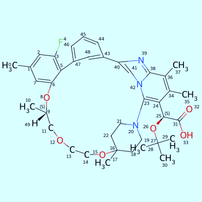 Cc1cc(F)c2c(c1)O[C@@H](C)COCCOC1(C)CCN(CC1)c1c([C@H](OC(C)(C)C)C(=O)O)c(C)c(C)c3nc(cn13)-c1cccc-2c1